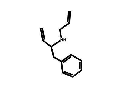 C=CCN[C](C=C)Cc1ccccc1